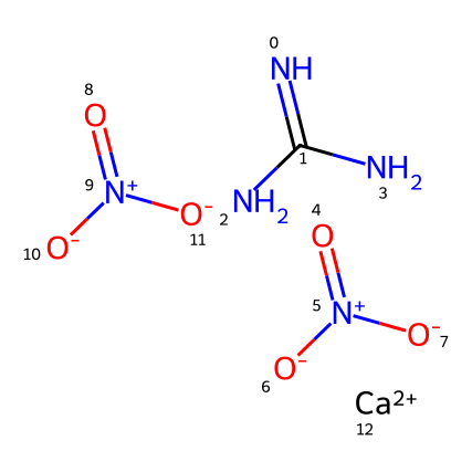 N=C(N)N.O=[N+]([O-])[O-].O=[N+]([O-])[O-].[Ca+2]